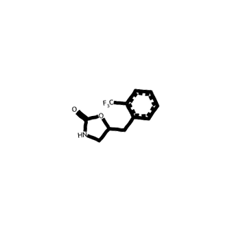 O=C1NCC(Cc2ccccc2C(F)(F)F)O1